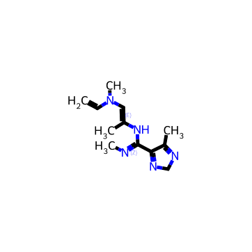 C=CN(C)/C=C(\C)N/C(=N\C)C1=NCN=C1C